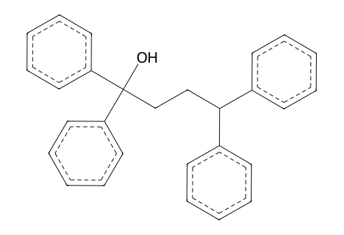 OC(CCC(c1ccccc1)c1ccccc1)(c1ccccc1)c1ccccc1